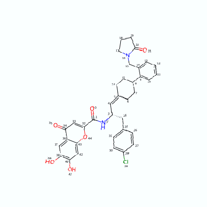 O=C(N[C@H](C=C1CCC(c2ccccc2CN2CCCC2=O)CC1)Cc1ccc(Cl)cc1)c1cc(=O)c2cc(O)c(O)cc2o1